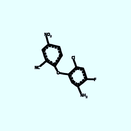 N#Cc1cc([N+](=O)[O-])ccc1Oc1cc(N)c(F)cc1Cl